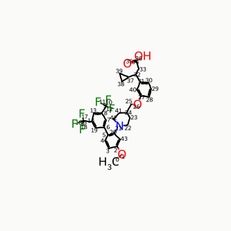 COc1ccc(-c2cc(C(F)(F)F)cc(C(F)(F)F)c2)c(N2CCC(COc3cccc(C(CC(=O)O)C4CC4)c3)CC2)c1